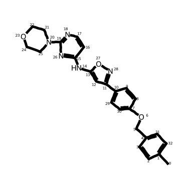 Cc1ccc(COc2ccc(-c3cc(Nc4ccnc(N5CCOCC5)n4)on3)cc2)cc1